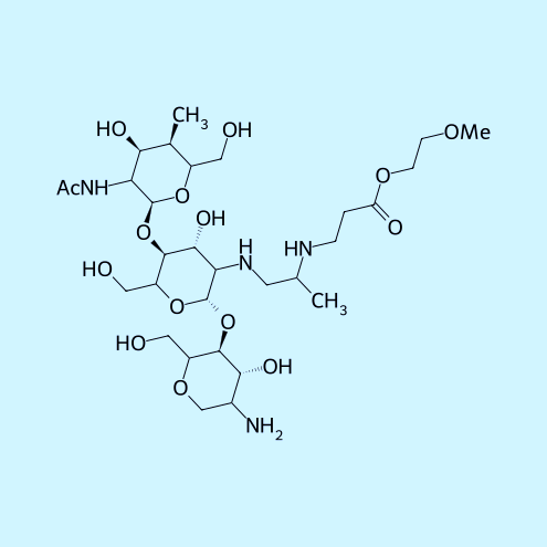 COCCOC(=O)CCNC(C)CNC1[C@H](O[C@@H]2C(CO)OCC(N)[C@H]2O)OC(CO)[C@@H](O[C@@H]2OC(CO)[C@H](C)[C@H](O)C2NC(C)=O)[C@@H]1O